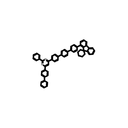 c1ccc(-c2ccc(-c3cc(-c4ccc(-c5ccc(-c6ccc(-c7cccc8c7C7(CCCCC7)c7ccccc7-8)cc6)cc5)cc4)nc(-c4ccccc4)n3)cc2)cc1